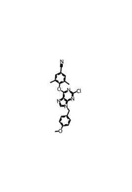 COc1ccc(Cn2cnc3c(Oc4c(C)cc(C#N)cc4C)nc(Cl)nc32)cc1